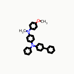 COc1ccc(N(C)c2ccc(N(c3ccccc3)c3ccc(-c4ccccc4)cc3)cc2)cc1